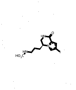 O=C(O)NCCC[C@H]1CNC(=O)c2cc(I)cn21